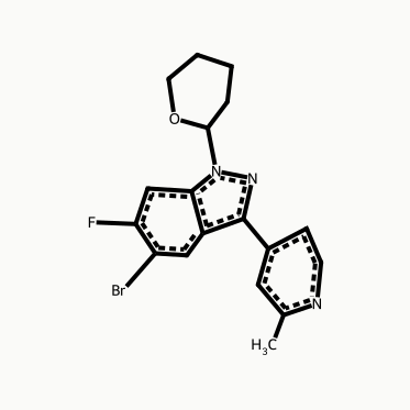 Cc1cc(-c2nn(C3CCCCO3)c3cc(F)c(Br)cc23)ccn1